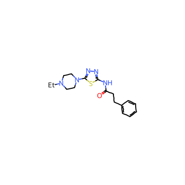 CCN1CCN(c2nnc(NC(=O)CCc3ccccc3)s2)CC1